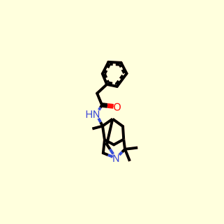 CC1(NC(=O)Cc2ccccc2)C2CC3CC1CN(C2)C3(C)C